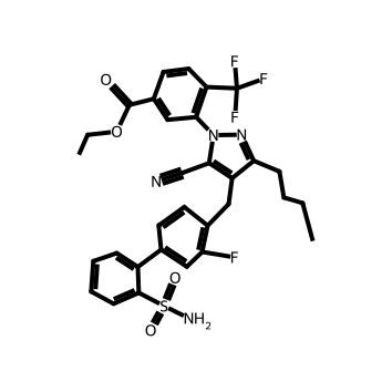 CCCCc1nn(-c2cc(C(=O)OCC)ccc2C(F)(F)F)c(C#N)c1Cc1ccc(-c2ccccc2S(N)(=O)=O)cc1F